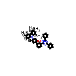 Bc1cc(B)c2c(c1B)c1c(B)c(B)cc(B)c1n2-c1ccc2c(c1)oc1c(-c3nc(-c4ccccc4)nc(-c4ccccc4)n3)cccc12